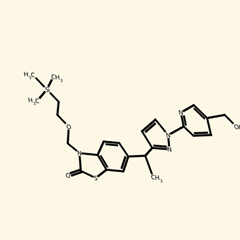 CC(c1ccc2c(c1)sc(=O)n2COCC[Si](C)(C)C)c1ccn(-c2ccc(CO)cn2)n1